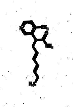 CCC=CC=CCC(C(N)=O)c1cnccc1C